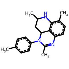 CC1=Nc2ccc(C)c3c2C(CC(C)N3)N1c1ccc(C)cc1